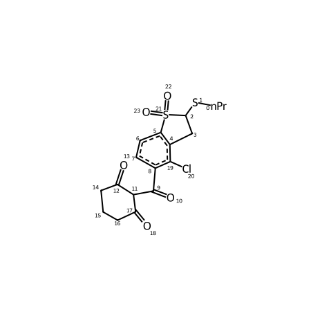 CCCSC1Cc2c(ccc(C(=O)C3C(=O)CCCC3=O)c2Cl)S1(=O)=O